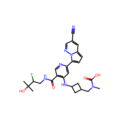 CN(CC1CC(Nc2cc(-c3ccc4cc(C#N)cnn34)ncc2C(=O)NCC(F)C(C)(C)O)C1)C(=O)O